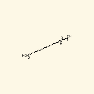 O=C(O)C=CC(=O)NCCCCCCCCCCCCCCCCCCCCCC(=O)O